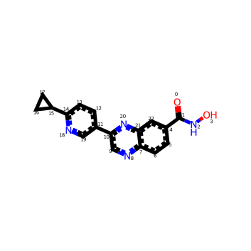 O=C(NO)c1ccc2ncc(-c3ccc(C4CC4)nc3)nc2c1